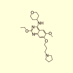 CCOc1nc(NC2CCOCC2)c2cc(OC)c(OCCCN3CCCC3)cc2n1